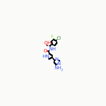 Nc1cc(-c2c[nH]c(C(=O)N[C@H](CO)c3ccc(Cl)c(F)c3)c2)ncn1